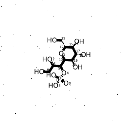 O=P(O)(O)OC(C(O)CO)C1O[C@H](CO)[C@@H](O)[C@H](O)[C@H]1O